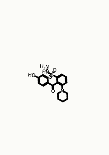 NNS(=O)(=O)c1cccc(N2CCCCC2)c1C(=O)c1ccc(O)cc1